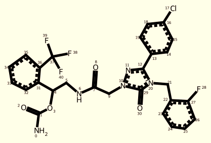 NC(=O)OC(CNC(=O)Cn1nc(-c2ccc(Cl)cc2)n(Cc2ccccc2F)c1=O)c1ccccc1C(F)(F)F